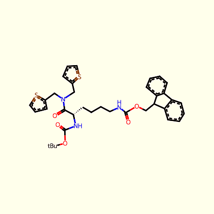 CC(C)(C)OC(=O)N[C@@H](CCCCNC(=O)OCC1c2ccccc2-c2ccccc21)C(=O)N(Cc1cccs1)Cc1cccs1